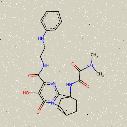 CN(C)C(=O)C(=O)NC12CCC(CC1)Cn1c2nc(C(=O)NCCNc2ccccc2)c(O)c1=O